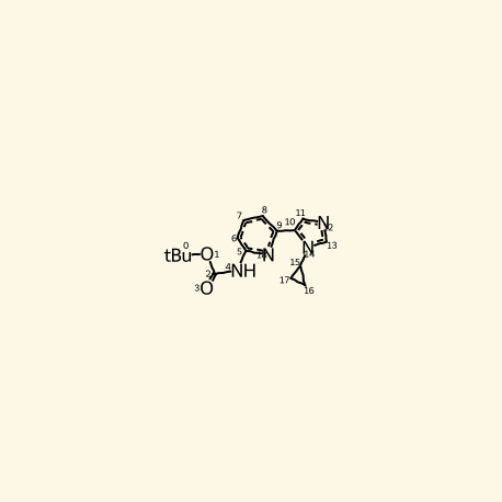 CC(C)(C)OC(=O)Nc1cccc(-c2cncn2C2CC2)n1